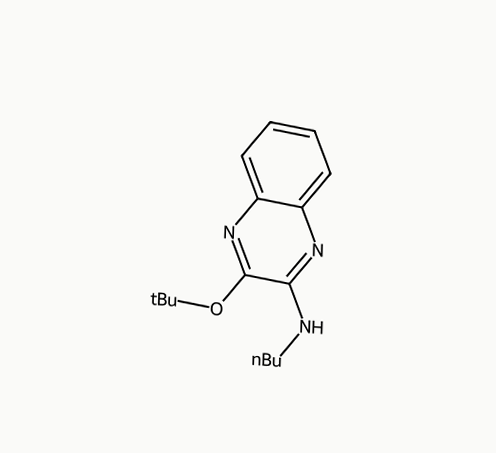 CCCCNc1nc2ccccc2nc1OC(C)(C)C